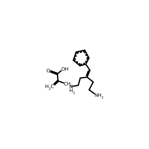 C=C(C)C(=O)O.NCCC(=Cc1ccccc1)CCN